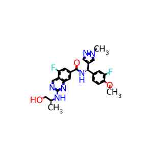 COc1ccc([C@H](NC(=O)c2cc(F)c3cnc(N[C@@H](C)CO)nc3c2)c2cnn(C)c2)cc1F